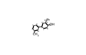 Cc1cccc(-c2ccc(O)c(C(C)C)c2)c1